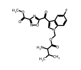 COC(=O)c1noc(C(=O)c2cn(COC(=O)C(N)C(C)C)c3ccc(F)cc23)n1